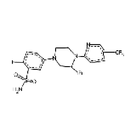 CC(C)C1CN(c2ccc(F)c(S(N)(=O)=O)c2)CCN1c1ccc(C(F)(F)F)cn1